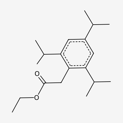 CCOC(=O)Cc1c(C(C)C)cc(C(C)C)cc1C(C)C